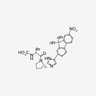 CCCC1(CCC)c2cc(-c3cnc([C@@H]4CCCN4C(=O)C(NC(=O)O)C(C)C)[nH]3)ccc2-c2ccc([N+](=O)[O-])cc21